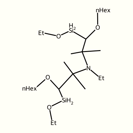 CCCCCCOC([SiH2]OCC)C(C)(C)N(CC)C(C)(C)C(OCCCCCC)[SiH2]OCC